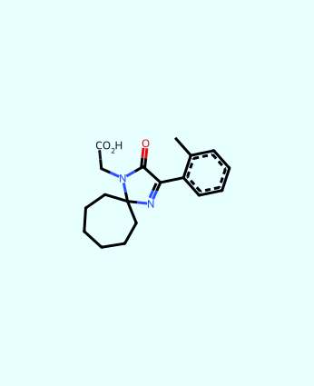 Cc1ccccc1C1=NC2(CCCCCC2)N(CC(=O)O)C1=O